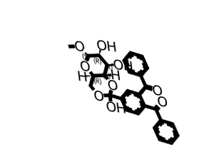 CO[C@H]1O[C@@H]2COC(O)(c3ccc(C(=O)c4ccccc4)c(C(=O)c4ccccc4)c3)O[C@H]2[C@H](O)[C@H]1O